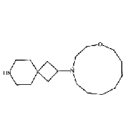 C1CCCOCCN(C2CC3(CCNCC3)C2)CCC1